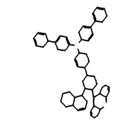 C1=CCCC(C2=CCC(N(C3=CC=C(C4C=CC=CC4)CC3)C3C=CC(C4CCC5C(C4)C4C6CCCCC6C=CC4[C@]54C5C=CCCC5OC5C=CCCC54)CC3)C=C2)=C1